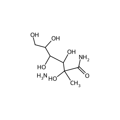 CC(O)(C(N)=O)C(O)C(O)C(O)CO.N